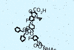 CC(=O)NC[C@H]1CN(c2ccc(OCC3(OP(=O)(OCc4ccccc4)OCc4ccccc4)CCN(c4cc5c(cc4F)c(=O)c(C(=O)O)cn5C4CC4)CC3)c(F)c2)C(=O)O1